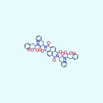 O=C(O)C(Cc1ccccc1)NC(=O)C(Cc1ccccc1)N1C(=O)c2ccc3c4c(ccc(c24)C1=O)C(=O)N(C(Cc1ccccc1)C(=O)NC(Cc1ccccc1)C(=O)O)C3=O